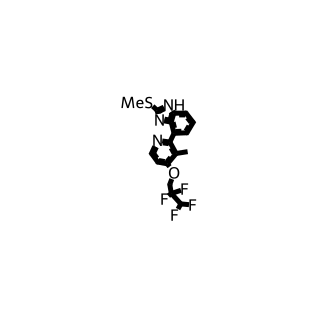 CSc1nc2c(-c3nccc(OCC(F)(F)C(F)F)c3C)cccc2[nH]1